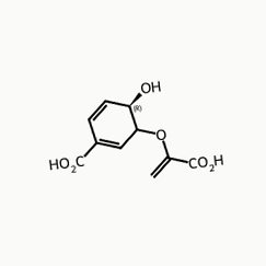 C=C(OC1C=C(C(=O)O)C=C[C@H]1O)C(=O)O